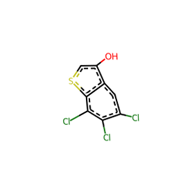 Oc1csc2c(Cl)c(Cl)c(Cl)cc12